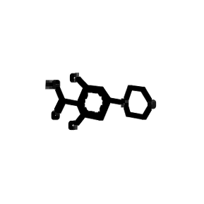 O=C(O)c1c(Cl)cc(N2CCOCC2)cc1Cl